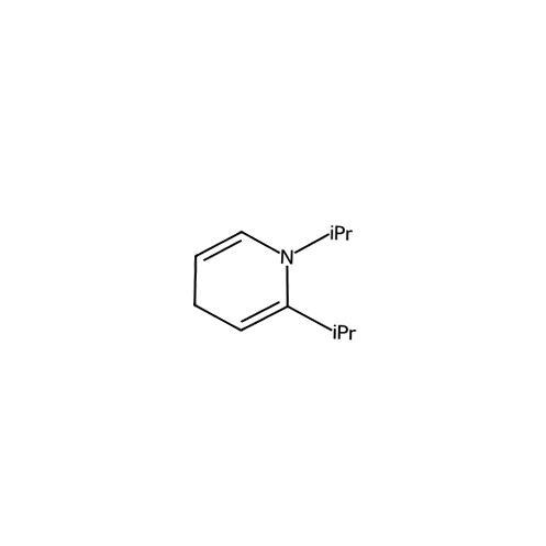 CC(C)C1=CCC=CN1C(C)C